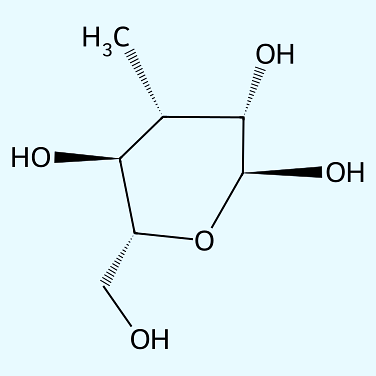 C[C@@H]1[C@H](O)[C@@H](O)O[C@H](CO)[C@H]1O